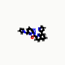 O=C(Nc1cccc(CN2CCCC2)n1)c1ccc2cccc(-c3cccnc3)c2n1